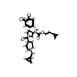 CN(C(=O)OCCC1CC1)[C@H]1CN(C(=O)C2CCN(CC3CC3)CC2)C[C@@H]1c1ccc(Cl)c(Cl)c1